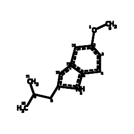 COc1ccc2[nH]c(CC(C)C)cc2c1